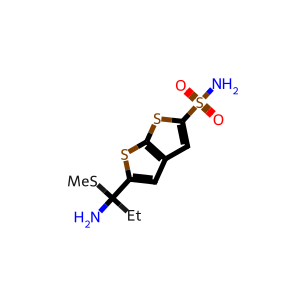 CCC(N)(SC)c1cc2cc(S(N)(=O)=O)sc2s1